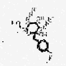 COc1ccc(CC2(O)O[C@H](CO)[C@@H](N=[N+]=[N-])[C@H](O)[C@@H]2N=[N+]=[N-])cc1